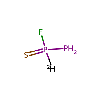 [2H]P(F)(P)=S